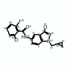 O=C(Nc1ccc2c(c1)c(Cl)nn2CC1CC1)c1c(F)cccc1Cl